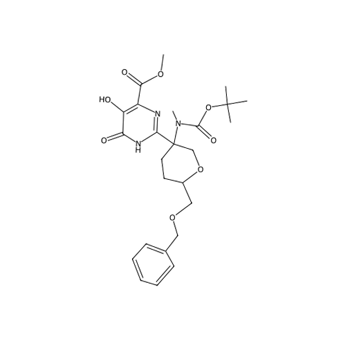 COC(=O)c1nc(C2(N(C)C(=O)OC(C)(C)C)CCC(COCc3ccccc3)OC2)[nH]c(=O)c1O